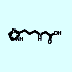 O=C(O)CNCCCc1ncc[nH]1